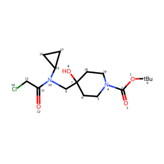 CC(C)(C)OC(=O)N1CCC(O)(CN(C(=O)CCl)C2CC2)CC1